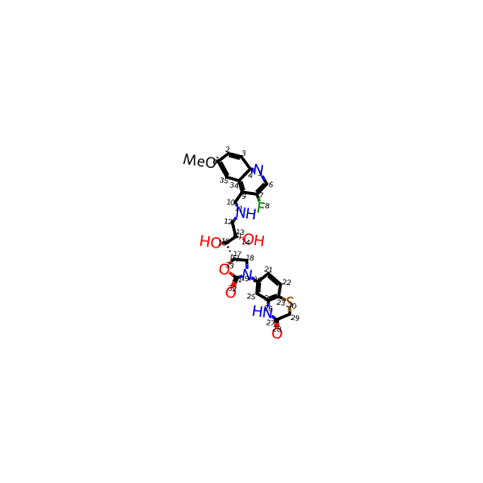 COc1ccc2ncc(F)c(CNC[C@H](O)C(O)[C@@H]3CN(c4ccc5c(c4)NC(=O)CS5)C(=O)O3)c2c1